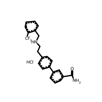 Cl.NC(=O)c1cccc(-c2ccc(CCNCc3ccccc3C(F)(F)F)cc2)c1